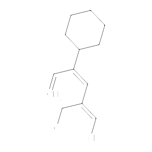 C=C/C(=C\C(=C\Cl)CCl)C1CCCCC1